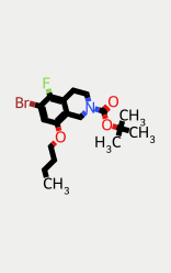 CCCCOc1cc(Br)c(F)c2c1CN(C(=O)OC(C)(C)C)CC2